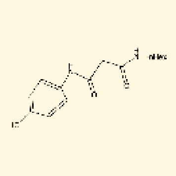 CCCCCCNC(=O)CC(=O)Nc1ccc(O)cc1